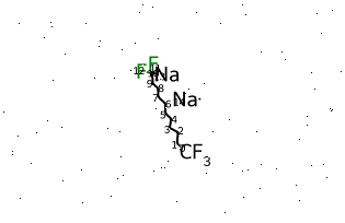 FC(F)(F)CCCCCCCCC[C](F)(F)[Na].[Na]